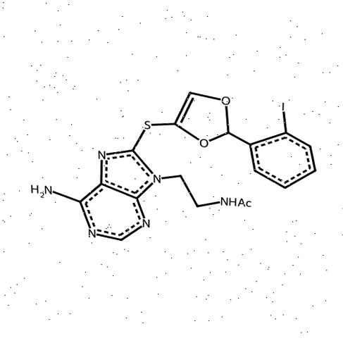 CC(=O)NCCn1c(SC2=COC(c3ccccc3I)O2)nc2c(N)ncnc21